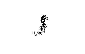 Cn1ccc2ccc(-c3csc(NC(=O)COC(N)=O)n3)cc2c1=O